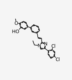 CCn1cc(-c2ccc(Cl)cc2Cl)nc1/C=C/c1cccc(-c2ccc(OC)c(O)c2)c1